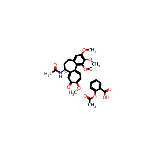 CC(=O)Oc1ccccc1C(=O)O.COc1cc2c(c(OC)c1OC)-c1ccc(OC)c(=O)cc1[C@@H](NC(C)=O)CC2